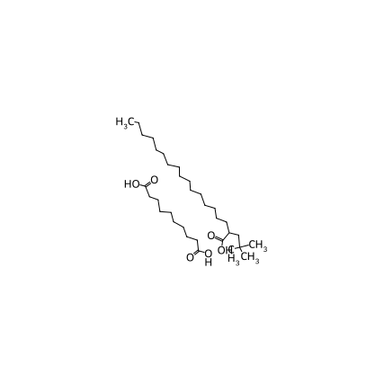 CCCCCCCCCCCCCCCCC(CC(C)(C)C)C(=O)O.O=C(O)CCCCCCCCC(=O)O